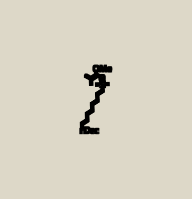 CCCCCCCCCCCCCCCCCC[Si](C)(C)OC(OC)=C(C)C